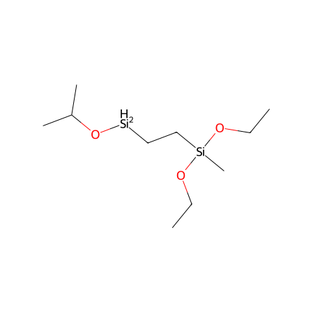 CCO[Si](C)(CC[SiH2]OC(C)C)OCC